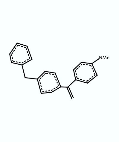 C=C(c1ccc(Cc2ccccc2)cc1)c1ccc(NC)cc1